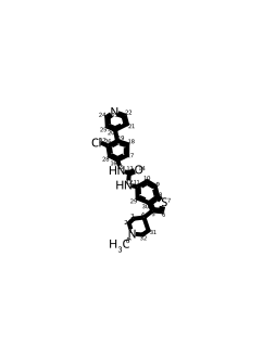 CN1CCC(c2csc3ccc(NC(=O)Nc4ccc(-c5ccncc5)c(Cl)c4)cc23)CC1